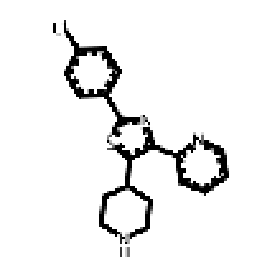 Clc1ccc(-c2nc(-c3ccccn3)c(C3CCNCC3)s2)cc1